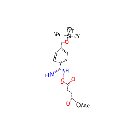 COC(=O)CCC(=O)ONC(=N)c1ccc(CO[Si](C(C)C)(C(C)C)C(C)C)cc1